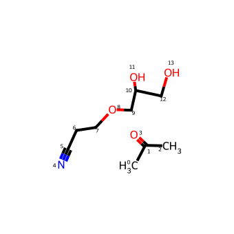 CC(C)=O.N#CCCOCC(O)CO